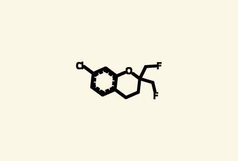 FCC1(CF)CCc2ccc(Cl)cc2O1